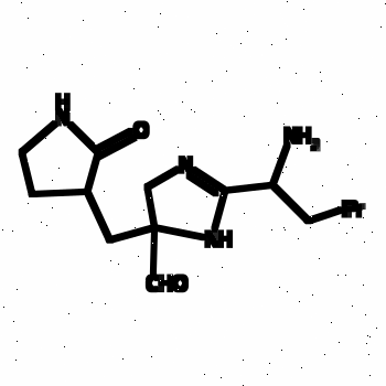 CC(C)CC(N)C1=NCC(C=O)(CC2CCNC2=O)N1